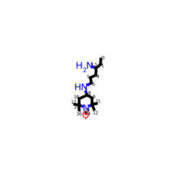 CCC(N)CCCNC1CC(C)(C)N([O])C(C)(C)C1